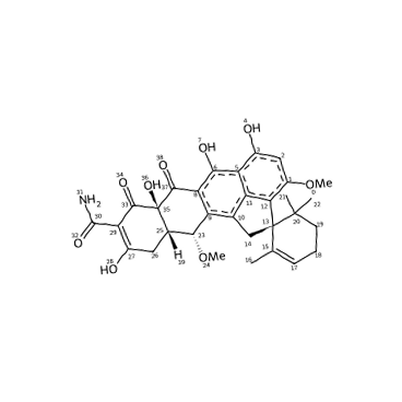 COc1cc(O)c2c(O)c3c(c4c2c1[C@@]1(C4)C(C)=CCCC1(C)C)[C@H](OC)[C@@H]1CC(O)=C(C(N)=O)C(=O)[C@]1(O)C3=O